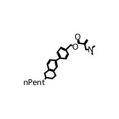 C=C(CN(C)C)C(=O)OCc1ccc(-c2ccc3c(c2)CCC(CCCCC)C3)cc1